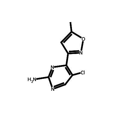 Cc1cc(-c2nc(N)ncc2Cl)no1